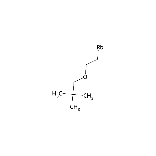 CC(C)(C)COC[CH2][Rb]